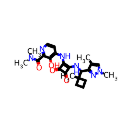 Cc1cn(C)nc1C(Nc1c(Nc2ccnc(C(=O)N(C)C)c2O)c(=O)c1=O)C1(C)CCC1